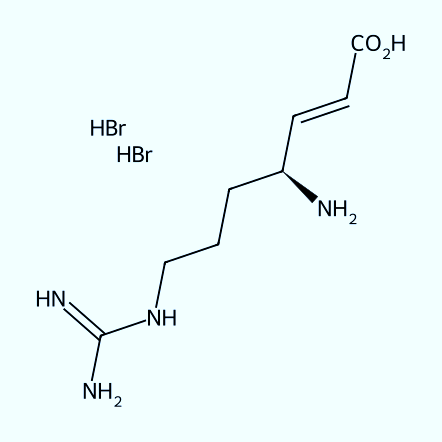 Br.Br.N=C(N)NCCC[C@H](N)/C=C/C(=O)O